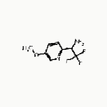 COc1ccc(C(N)C(F)(F)F)nc1